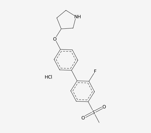 CS(=O)(=O)c1ccc(-c2ccc(OC3CCNC3)cc2)c(F)c1.Cl